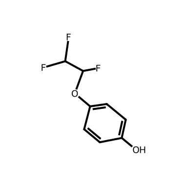 Oc1ccc(OC(F)C(F)F)cc1